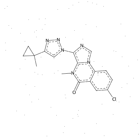 Cn1c(=O)c2cc(Cl)ccc2n2cnc(-n3cc(C4(C)CC4)nn3)c12